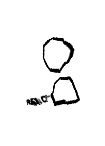 C1=CCCC=CCC1.C1=CCCC=CCC1.[Cl-].[Cl-].[Ra+2]